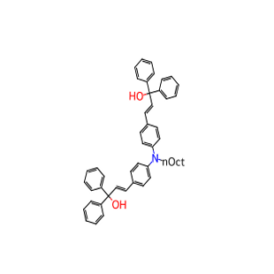 CCCCCCCCN(c1ccc(C=CC(O)(c2ccccc2)c2ccccc2)cc1)c1ccc(C=CC(O)(c2ccccc2)c2ccccc2)cc1